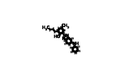 CCCCc1cc(C)cc(-n2nc3ccc(Nc4ccccc4)cc3n2)c1O